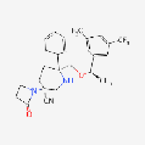 C[C@@H](OC[C@@]1(C2C=CC=CC2)CC[C@](C#N)(N2CCC2=O)CN1)c1cc(C(F)(F)F)cc(C(F)(F)F)c1